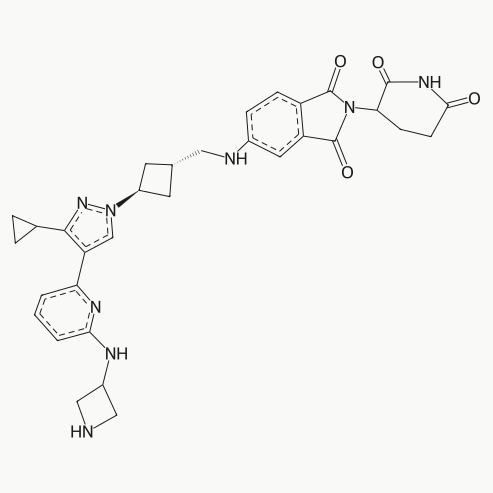 O=C1CCC(N2C(=O)c3ccc(NC[C@H]4C[C@H](n5cc(-c6cccc(NC7CNC7)n6)c(C6CC6)n5)C4)cc3C2=O)C(=O)N1